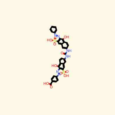 O=C(Nc1ccc2c(O)c(/N=N/c3ccccc3)c(S(=O)(=O)O)cc2c1)Nc1ccc2c(O)c(/N=N/c3ccc(C(=O)O)cc3)c(S(=O)(=O)O)cc2c1